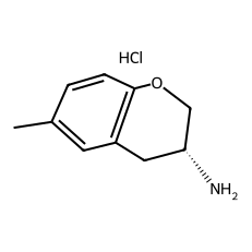 Cc1ccc2c(c1)C[C@@H](N)CO2.Cl